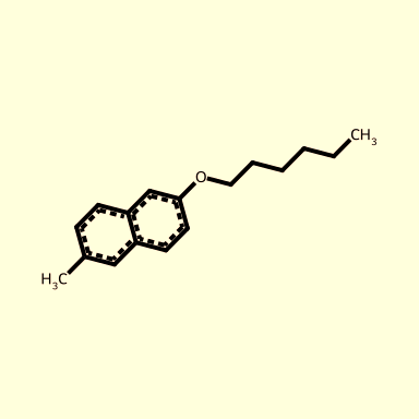 CCCCCCOc1ccc2cc(C)ccc2c1